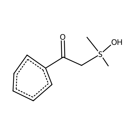 CS(C)(O)CC(=O)c1ccccc1